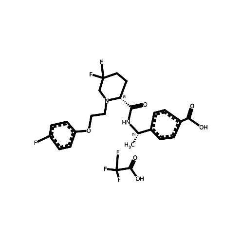 C[C@H](NC(=O)[C@H]1CCC(F)(F)CN1CCOc1ccc(F)cc1)c1ccc(C(=O)O)cc1.O=C(O)C(F)(F)F